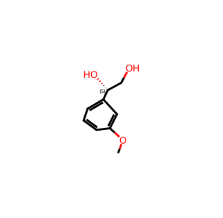 COc1cccc([C@H](O)CO)c1